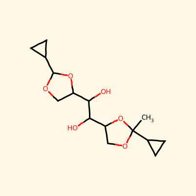 CC1(C2CC2)OCC(C(O)C(O)C2COC(C3CC3)O2)O1